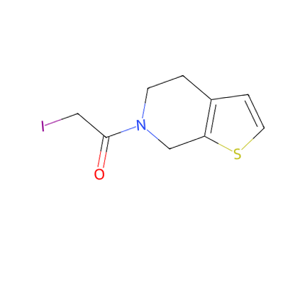 O=C(CI)N1CCc2ccsc2C1